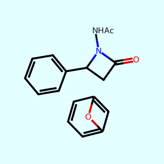 CC(=O)NN1C(=O)CC1c1ccccc1.c1cc2cc(c1)O2